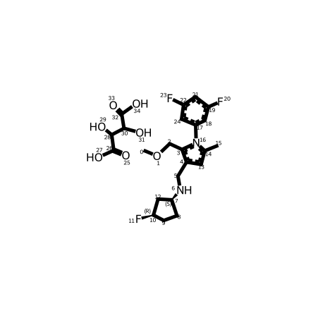 COCc1c(CN[C@H]2CC[C@@H](F)C2)cc(C)n1-c1cc(F)cc(F)c1.O=C(O)C(O)C(O)C(=O)O